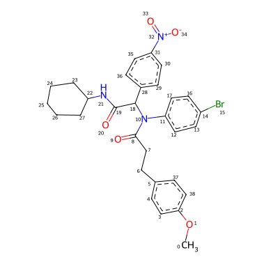 COc1ccc(CCC(=O)N(c2ccc(Br)cc2)C(C(=O)NC2CCCCC2)c2ccc([N+](=O)[O-])cc2)cc1